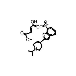 CC(C)N1CC=C(c2cc3cccc([N+](=O)[O-])c3s2)CC1.O=C(O)C=CC(=O)O